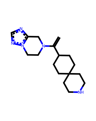 C=C(C1CCC2(CCNCC2)CC1)N1CCn2ncnc2C1